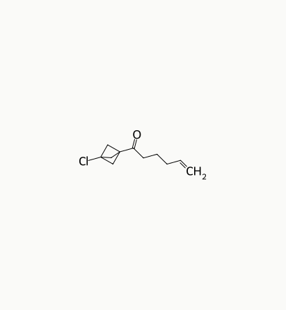 C=CCCCC(=O)C12CC(Cl)(C1)C2